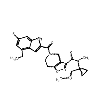 CCc1cc(F)cc2[nH]c(C(=O)N3CCc4onc(C(=O)N(C)C5(COC)CC5)c4C3)cc12